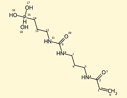 C=CC(=O)NCCCNC(=O)NCCC[PH](O)(O)O